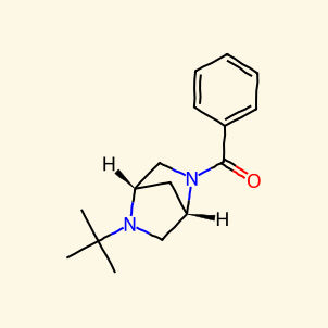 CC(C)(C)N1C[C@@H]2C[C@H]1CN2C(=O)c1ccccc1